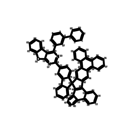 c1ccc(-c2cccc(-c3nc(-c4ccc5c(c4)-c4ccccc4C54c5cc6c7ccccc7c7ccccc7c6cc5-c5c4c4ccccc4c4ccccc54)nc4oc5ccccc5c34)c2)cc1